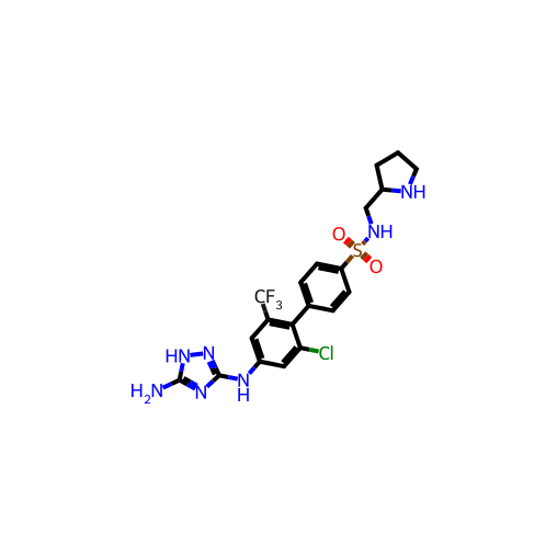 Nc1nc(Nc2cc(Cl)c(-c3ccc(S(=O)(=O)NCC4CCCN4)cc3)c(C(F)(F)F)c2)n[nH]1